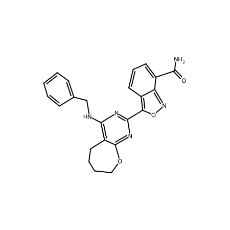 NC(=O)c1cccc2c(-c3nc(NCc4ccccc4)c4c(n3)OCCCC4)onc12